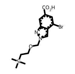 C[Si](C)(C)CCOCn1cc2c(Br)cc(C(=O)O)cc2n1